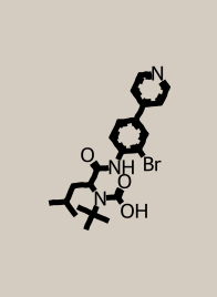 CC(C)CC(C(=O)Nc1ccc(-c2ccncc2)cc1Br)N(C(=O)O)C(C)(C)C